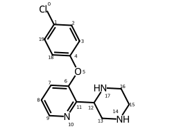 Clc1ccc(Oc2cccnc2C2CNCCN2)cc1